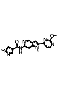 COc1nccc(-c2cc3cnc(NC(=O)c4cnn(C)c4)cc3n2C)n1